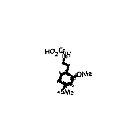 COc1cc(SC)ccc1CCNC(=O)O